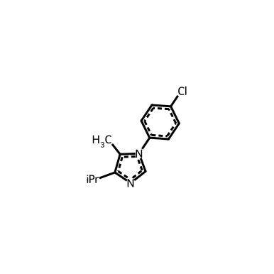 Cc1c(C(C)C)ncn1-c1ccc(Cl)cc1